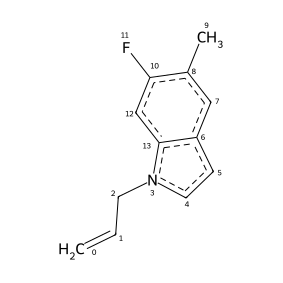 C=CCn1ccc2cc(C)c(F)cc21